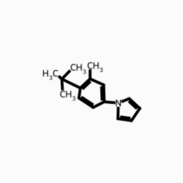 Cc1cc(-n2cccc2)ccc1C(C)(C)C